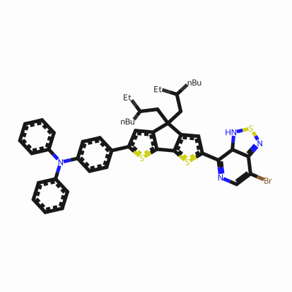 CCCCC(CC)CC1(CC(CC)CCCC)c2cc(C3=NC=C(Br)C4=NSNC43)sc2-c2sc(-c3ccc(N(c4ccccc4)c4ccccc4)cc3)cc21